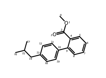 COC(=O)c1ccccc1-c1ccc(CC(C)C)cc1